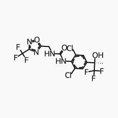 C[C@@](O)(c1cc(Cl)c(NC(=O)NCc2nc(C(F)(F)F)no2)c(Cl)c1)C(F)(F)F